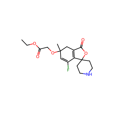 CCOC(=O)COC1(C)C=C(F)C2=C(C1)C(=O)OC21CCNCC1